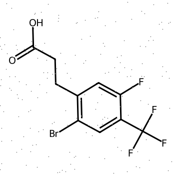 O=C(O)CCc1cc(F)c(C(F)(F)F)cc1Br